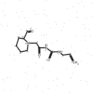 C=CCNC(=O)NC(=O)CN1CCCCC1C=O